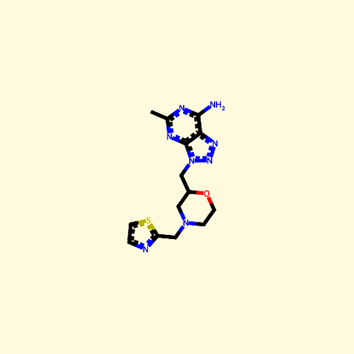 Cc1nc(N)c2nnn(CC3CN(Cc4nccs4)CCO3)c2n1